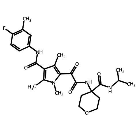 Cc1cc(NC(=O)c2c(C)c(C(=O)C(=O)NC3(C(=O)NC(C)C)CCOCC3)n(C)c2C)ccc1F